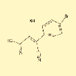 N#CC(=CC(=O)O)c1ccc(Br)cc1.[KH]